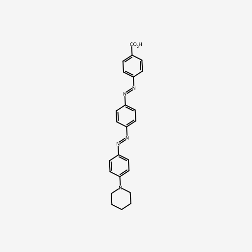 O=C(O)c1ccc(N=Nc2ccc(N=Nc3ccc(N4CCCCC4)cc3)cc2)cc1